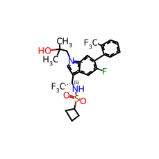 CC(C)(O)Cn1cc([C@H](NS(=O)(=O)C2CCC2)C(F)(F)F)c2cc(F)c(-c3ccccc3C(F)(F)F)cc21